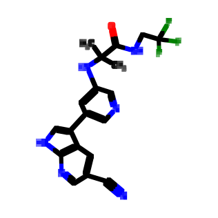 CC(C)(Nc1cncc(-c2c[nH]c3ncc(C#N)cc23)c1)C(=O)NCC(F)(F)F